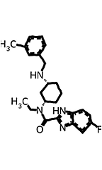 CCN(C(=O)c1nc2cc(F)ccc2[nH]1)[C@H]1CCC[C@@H](NCc2cccc(C)c2)C1